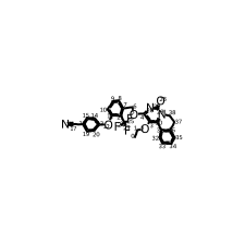 CCOc1c(OCc2cccc(Oc3ccc(C#N)cc3)c2C(F)(F)F)nc(=O)n2c1-c1ccccc1CC2